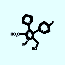 CC(C)n1c(CO)c(-c2ccc(F)cc2)c(-c2ccccc2)c1C(=O)O